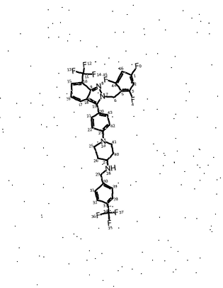 Fc1cc(F)c(Cn2nc3c(C(F)(F)F)cccc3c2-c2ccc(N3CCC(NCc4ccc(C(F)(F)F)cc4)CC3)cc2)c(F)c1